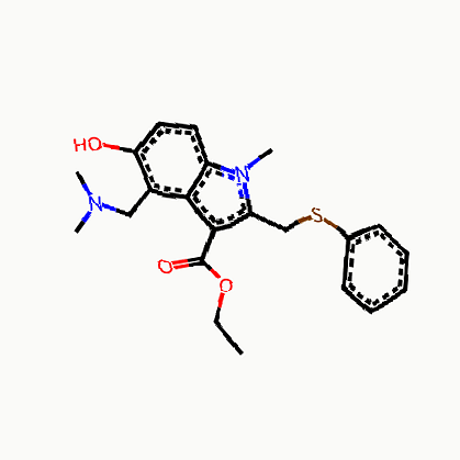 CCOC(=O)c1c(CSc2ccccc2)n(C)c2ccc(O)c(CN(C)C)c12